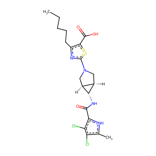 CCCCCc1nc(N2C[C@@H]3[C@H](C2)[C@H]3NC(=O)c2[nH]c(C)c(Cl)c2Cl)sc1C(=O)O